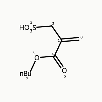 C=C(CS(=O)(=O)O)C(=O)OCCCC